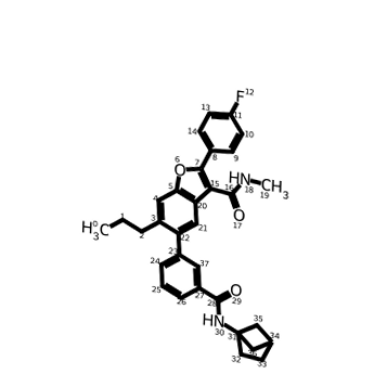 CCCc1cc2oc(-c3ccc(F)cc3)c(C(=O)NC)c2cc1-c1cccc(C(=O)NC23CCC(C2)C3)c1